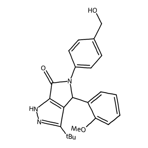 COc1ccccc1C1c2c(C(C)(C)C)n[nH]c2C(=O)N1c1ccc(CO)cc1